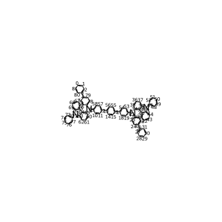 c1ccc(-c2ccc(N(c3ccc(-c4ccc(-c5ccc(N(c6ccc(-c7ccccc7)cc6)c6cccc7c6c6ccccc6n7-c6ccccc6)cc5)cc4)cc3)c3cccc4c3c3ccccc3n4-c3ccccc3)cc2)cc1